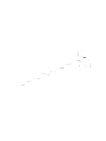 CCCCCCCCCCCCCCCCC(O)C(=O)S